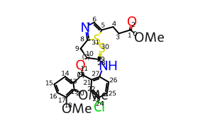 COC(=O)CCc1cnc(C[C@@H]2O[C@H](c3cccc(OC)c3OC)c3cc(Cl)ccc3NC2=S)s1